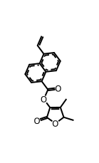 C=Cc1cccc2c(C(=O)OC3=C(C)C(C)OC3=O)cccc12